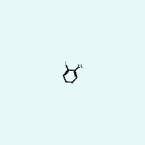 CCC1=CC[CH]C=C1I